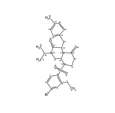 CCc1cc(Br)ccc1S(=O)(=O)N1CCC(=O)N2C(Cc3ccc(C)cc3)C(=O)N(C(C)C)CC21